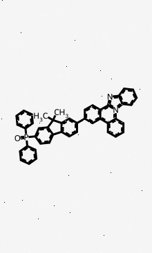 CC1(C)c2cc(-c3ccc4c(c3)c3ccccc3n3c5ccccc5nc43)ccc2-c2ccc(P(=O)(c3ccccc3)c3ccccc3)cc21